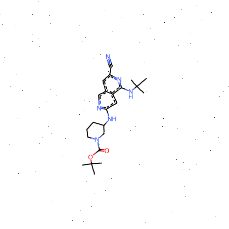 CC(C)(C)Nc1nc(C#N)cc2cnc(NC3CCCN(C(=O)OC(C)(C)C)C3)cc12